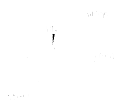 CCCCCCCC(CCCCCCC)N[C@H]1C[C@H](OC)C1